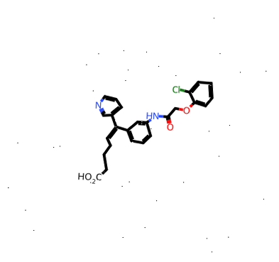 O=C(O)CCCC=C(c1cccnc1)c1cccc(NC(=O)COc2ccccc2Cl)c1